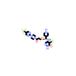 O=C(CCOC[C@@H](Nc1cn[nH]c(=O)c1C(F)(F)F)C1CCNCC1)N1CCN(c2ncc(C(F)(F)F)cn2)CC1